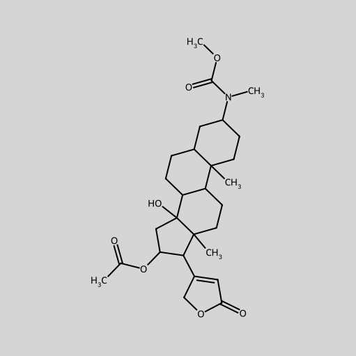 COC(=O)N(C)C1CCC2(C)C(CCC3C2CCC2(C)C(C4=CC(=O)OC4)C(OC(C)=O)CC32O)C1